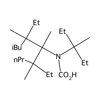 CCCC(C)(CC)C(C)(N(C(=O)O)C(C)(CC)CC)C(C)(CC)C(C)CC